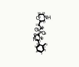 Cc1ccccc1-c1nsc(S(=O)(=O)N=CC2CNCCO2)n1